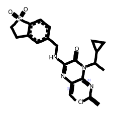 C=C(Cl)/N=C1\C(=C/C)N=C(NCc2ccc3c(c2)CCS3(=O)=O)C(=O)N1C(C)C1CC1